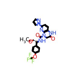 COC[C@H](NC(=O)N1CC(=O)Nc2ccc(-n3cccn3)nc21)c1ccc(OC(F)(F)F)cc1